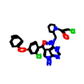 O=C(c1ccc(Oc2ccccc2)cc1Cl)c1c[nH]c2ncnc(NCC3CCCCN3C(=O)CCl)c12